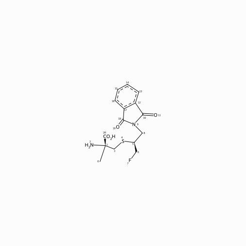 C[C@](N)(CS[C@H](CF)CN1C(=O)c2ccccc2C1=O)C(=O)O